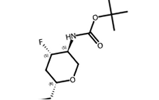 CC[C@@H]1C[C@H](F)[C@@H](NC(=O)OC(C)(C)C)CO1